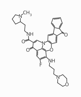 CN1CCCC1CCNC(=O)c1cn2c3cc4c(cc3oc3c(NCCCN5CCOCC5)c(F)cc(c1=O)c32)c(=O)c1ccccc14